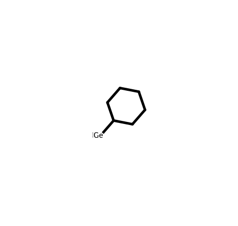 [Ge][CH]1CCCCC1